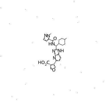 CC1CCC(C(NC(=O)c2ccnn2C)c2nc3nc(-c4cocc4C(=O)O)ccc3[nH]2)CC1